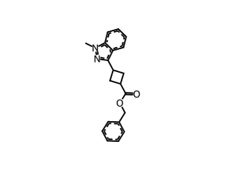 Cn1nc(C2CC(C(=O)OCc3ccccc3)C2)c2ccccc21